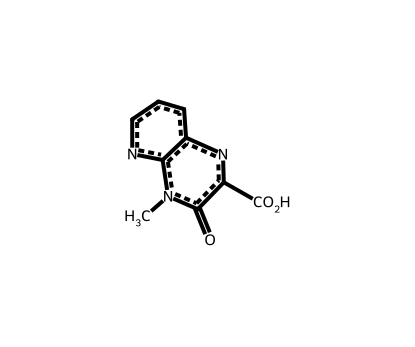 Cn1c(=O)c(C(=O)O)nc2cccnc21